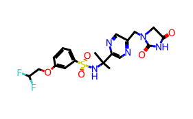 CC(C)(NS(=O)(=O)c1cccc(OCC(F)F)c1)c1cnc(CN2CC(=O)NC2=O)cn1